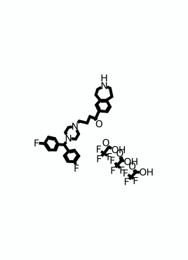 O=C(CCCN1CCN(C(c2ccc(F)cc2)c2ccc(F)cc2)CC1)c1ccc2c(c1)CCNCC2.O=C(O)C(F)(F)F.O=C(O)C(F)(F)F.O=C(O)C(F)(F)F